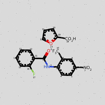 O=C(Nc1ccc([N+](=O)[O-])cc1C(F)(F)F)c1ccccc1F.O=C(O)c1ccco1